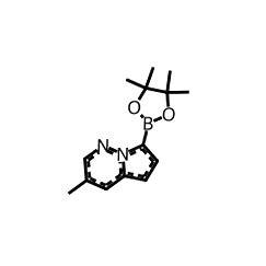 Cc1cnn2c(B3OC(C)(C)C(C)(C)O3)ccc2c1